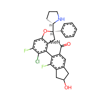 CNC(=O)c1cc2c(c(F)c1-c1c(Cl)c(F)cc3c1C[C@](c1ccccc1)([C@@H]1CCCN1)O3)CC(O)C2